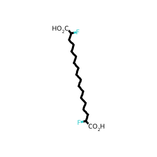 O=C(O)C(F)CCCCCCCCCCCCCCC(F)C(=O)O